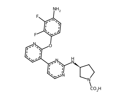 Nc1ccc(Oc2ncccc2-c2ccnc(N[C@H]3CCN(C(=O)O)C3)n2)c(F)c1F